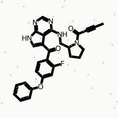 CC#CC(=O)N1CCCC1CNc1ncnc2[nH]cc(C(=O)c3ccc(Oc4ccccc4)cc3F)c12